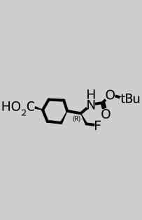 CC(C)(C)OC(=O)N[C@@H](CF)[C@H]1CC[C@@H](C(=O)O)CC1